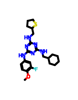 COc1ccc(Nc2nc(NCC3CCCCC3)nc(NCC3CCCS3)n2)cc1F